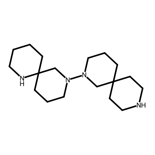 C1CCC2(CCCN(N3CCCC4(CCNCC4)C3)C2)NC1